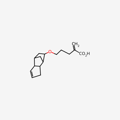 C=C(CCCOC1CC2CC1C1CC=CC21)C(=O)O